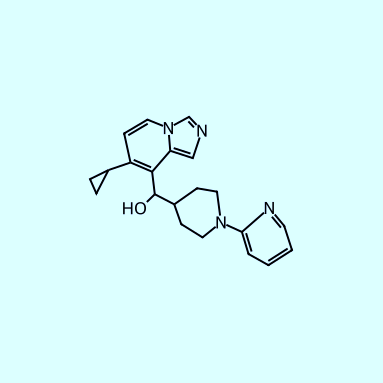 OC(c1c(C2CC2)ccn2cncc12)C1CCN(c2ccccn2)CC1